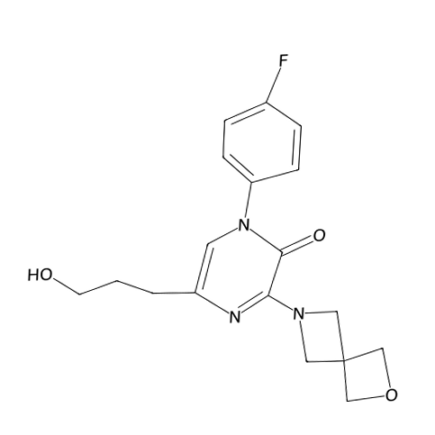 O=c1c(N2CC3(COC3)C2)nc(CCCO)cn1-c1ccc(F)cc1